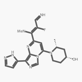 CN/C(=C(/F)C=N)c1cc(N2CC[C@@H](O)C[C@H]2C)n2cnc(-c3ccn[nH]3)c2n1